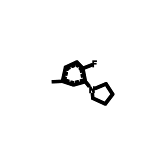 Cc1ccc(F)c(N2CCCC2)c1